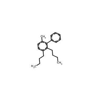 CCCCc1ccc(C)c(-c2ccccc2)c1CCCC